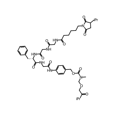 CC(C)C(=O)COCN(C)C(=O)OCc1ccc(NC(=O)CNC(=O)[C@H](Cc2ccccc2)NC(=O)CNC(=O)CNC(=O)CCCCCN2C(=O)CC(C(C)C)C2=O)cc1